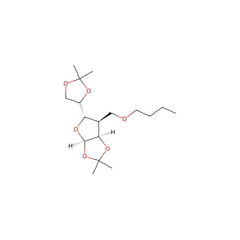 CCCCOC[C@H]1[C@H]2OC(C)(C)O[C@H]2O[C@@H]1C1COC(C)(C)O1